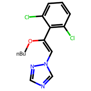 CCCCO/C(=C\n1cncn1)c1c(Cl)cccc1Cl